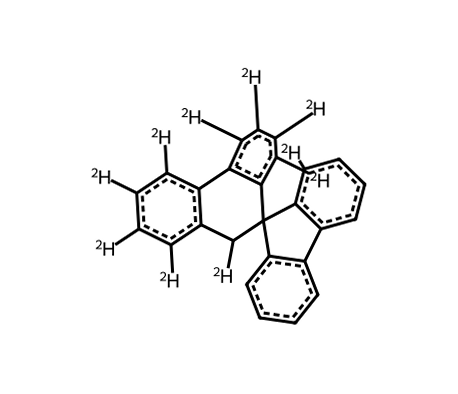 [2H]c1cccc2c1C1(c3ccccc3-2)c2c([2H])c([2H])c([2H])c([2H])c2-c2c([2H])c([2H])c([2H])c([2H])c2C1[2H]